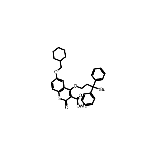 COC(=O)c1c(OCCC(c2ccccc2)(c2ccccc2)C(C)(C)C)c2cc(OCC3CCCCC3)ccc2sc1=O